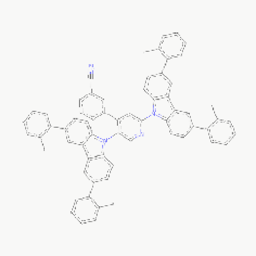 Cc1ccccc1-c1ccc2c(c1)c1cc(-c3ccccc3C)ccc1n2-c1cc(-c2cccc(C#N)c2)c(-n2c3ccc(-c4ccccc4C)cc3c3cc(-c4ccccc4C)ccc32)cn1